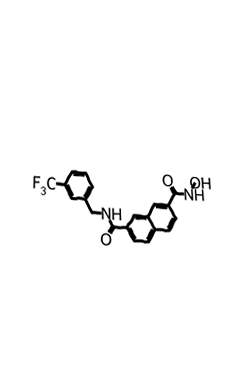 O=C(NO)c1ccc2ccc(C(=O)NCc3cccc(C(F)(F)F)c3)cc2c1